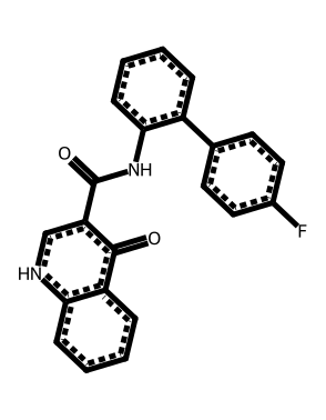 O=C(Nc1ccccc1-c1ccc(F)cc1)c1c[nH]c2ccccc2c1=O